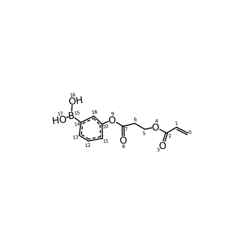 C=CC(=O)OCCC(=O)Oc1cccc(B(O)O)c1